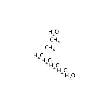 C.C.C.C.C.C.O.O